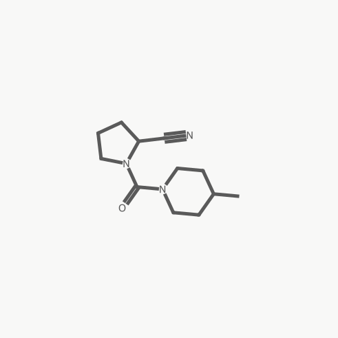 CC1CCN(C(=O)N2CCCC2C#N)CC1